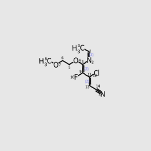 C\C=N/C(OCCOC)=C(F)\C(Cl)=C\C#N